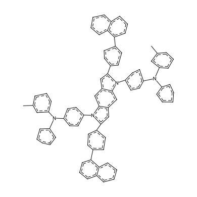 Cc1cccc(N(c2ccccc2)c2ccc(-n3c(-c4ccc(-c5cccc6ccccc56)cc4)cc4cc5c(cc(-c6ccc(-c7cccc8ccccc78)cc6)n5-c5ccc(N(c6ccccc6)c6cccc(C)c6)cc5)cc43)cc2)c1